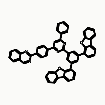 c1ccc(-c2cc(-c3ccc(-c4ncc5ccccc5n4)cc3)nc(-c3cc(-c4cccc5c4oc4ccccc45)cc(-c4cccc5c4oc4ccccc45)c3)n2)cc1